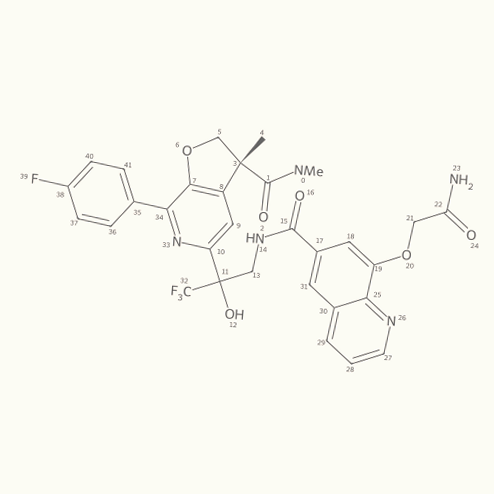 CNC(=O)[C@@]1(C)COc2c1cc(C(O)(CNC(=O)c1cc(OCC(N)=O)c3ncccc3c1)C(F)(F)F)nc2-c1ccc(F)cc1